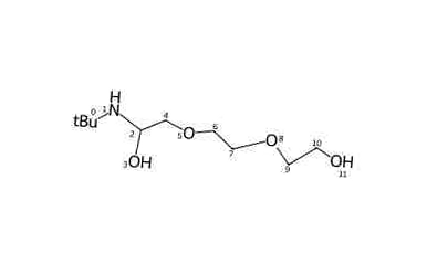 CC(C)(C)NC(O)COCCOCCO